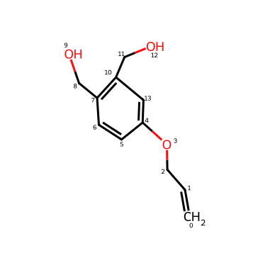 C=CCOc1ccc(CO)c(CO)c1